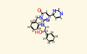 O=c1cc(-c2ccncn2)nc2n1Cc1ccccc1N2C[C@@H](O)c1ccccc1